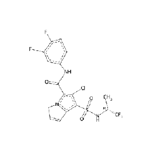 C[C@@H](NS(=O)(=O)c1c(Cl)c(C(=O)Nc2ccc(F)c(F)c2)n2c1C=CC2)C(F)(F)F